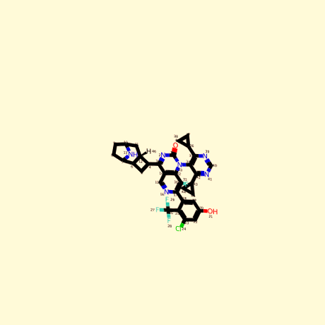 O=c1nc(C2CC3C4CCC(C[C@H]23)N4)c2cnc(-c3cc(O)cc(Cl)c3C(F)(F)F)c(F)c2n1-c1c(C2CC2)ncnc1C1CC1